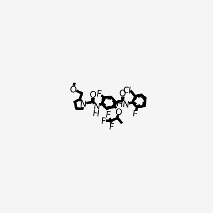 COCC1CCCN1C(=O)Nc1cc(OC(C)C(F)(F)F)c(C(=O)Nc2c(F)cccc2Cl)cc1F